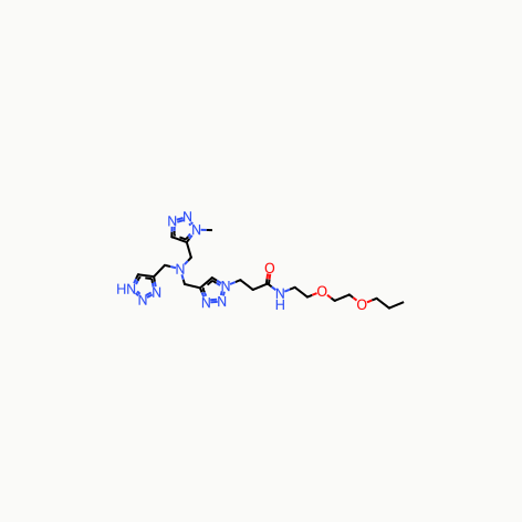 CCCOCCOCCNC(=O)CCn1cc(CN(Cc2c[nH]nn2)Cc2cnnn2C)nn1